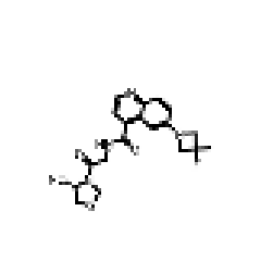 CC1(F)CN(c2ccc3nccc(C(=O)NCC(=O)N4CSC[C@H]4C#N)c3c2)C1